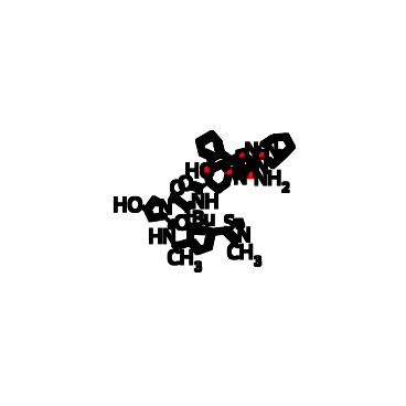 Cc1ncsc1-c1ccc([C@H](C)NC(=O)[C@@H]2C[C@@H](O)CN2C(=O)[C@@H](NC(=O)[C@H]2CC[C@H](c3cnc(N4C5CCC4CN(c4cc(-c6ccccc6O)nnc4N)C5)nc3)CC2)C(C)(C)C)cc1